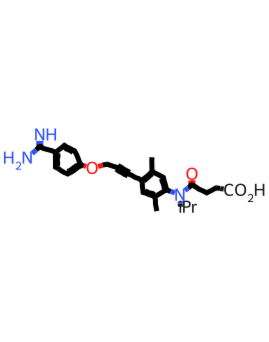 Cc1cc(N(C(=O)CCC(=O)O)C(C)C)c(C)cc1C#CCOc1ccc(C(=N)N)cc1